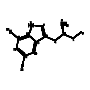 CC[C@H](N)Cc1c[nH]c2c(F)cc(F)cc12